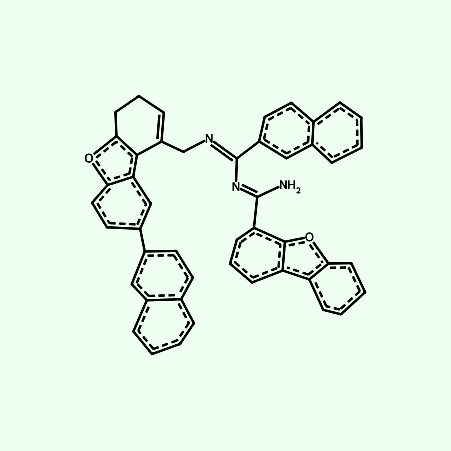 N/C(=N\C(=N/CC1=CCCc2oc3ccc(-c4ccc5ccccc5c4)cc3c21)c1ccc2ccccc2c1)c1cccc2c1oc1ccccc12